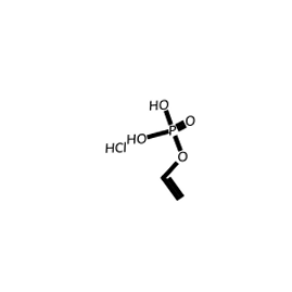 C=COP(=O)(O)O.Cl